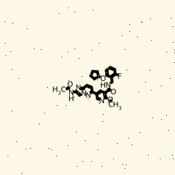 COc1ncc(-c2ccc3nc(NC(C)=O)cn3n2)cc1C(=O)NCc1c(F)cccc1OC1CCCC1